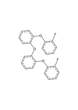 Fc1ccccc1Oc1ccccc1Oc1ccccc1Oc1ccccc1F